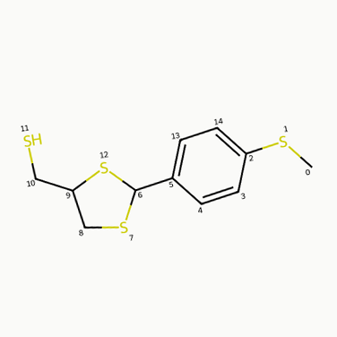 CSc1ccc(C2SCC(CS)S2)cc1